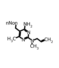 C=CCN(C)c1nc(C)c(CCCCCCCCCC)c(N)n1